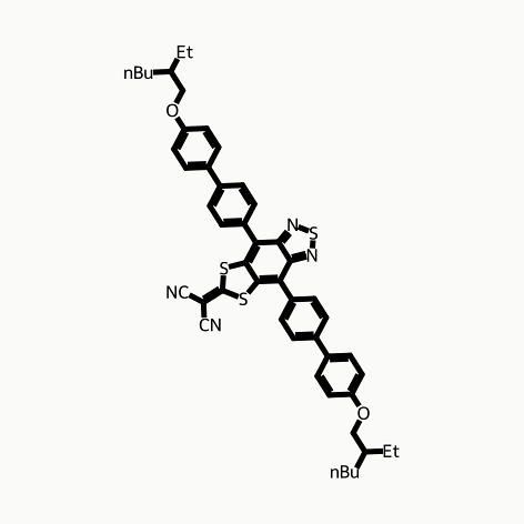 CCCCC(CC)COc1ccc(-c2ccc(-c3c4c(c(-c5ccc(-c6ccc(OCC(CC)CCCC)cc6)cc5)c5nsnc35)SC(=C(C#N)C#N)S4)cc2)cc1